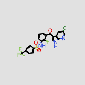 O=C(c1cccc(NS(=O)(=O)c2ccc(C(F)(F)F)cc2)c1F)c1c[nH]c2ncc(Cl)cc12